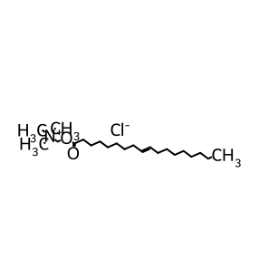 CCCCCCCCC=CCCCCCCCC(=O)OC[N+](C)(C)C.[Cl-]